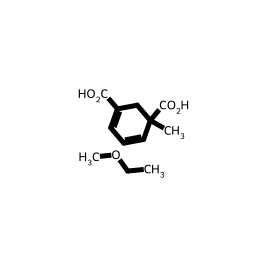 CC1(C(=O)O)C=CC=C(C(=O)O)C1.CCOC